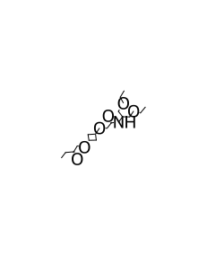 CCOCC(COCC)NC(=O)COC1CC(OCC(=O)CC)C1